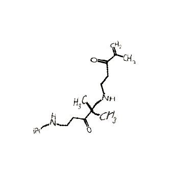 C=C(C)C(=O)CCNC(C)(C)C(=O)CCNC(C)C